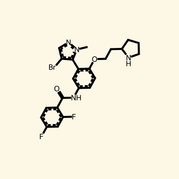 Cn1ncc(Br)c1-c1cc(NC(=O)c2ccc(F)cc2F)ccc1OCCC1CCCN1